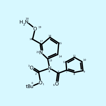 CC(C)(C)OC(=O)N(C(=O)c1ccccc1)c1cccc(CON)n1